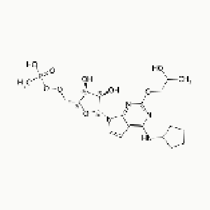 CC(O)COc1nc(NC2CCCC2)c2ccn([C@@H]3O[C@H](COOP(C)(=O)O)[C@@H](O)[C@H]3O)c2n1